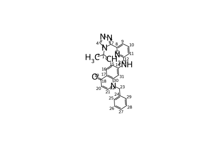 CC(C)n1cnnc1-c1cccc(Nc2ccc3c(=O)ccn(Cc4ccccc4)c3c2)n1